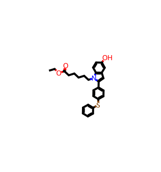 CCOC(=O)CCCCCn1c(-c2ccc(Sc3ccccc3)cc2)cc2cc(O)ccc21